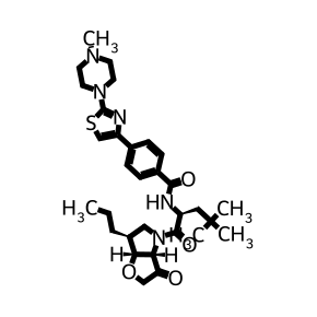 CCC[C@H]1CN(C(=O)[C@H](CC(C)(C)C)NC(=O)c2ccc(-c3csc(N4CCN(C)CC4)n3)cc2)[C@@H]2C(=O)CO[C@H]12